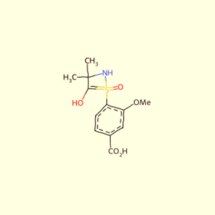 COc1cc(C(=O)O)ccc1S1(=O)=C(O)C(C)(C)N1